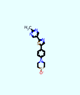 Cc1ncc(-c2ncc(-c3ccc(N4CC[S+]([O-])CC4)cc3)s2)cn1